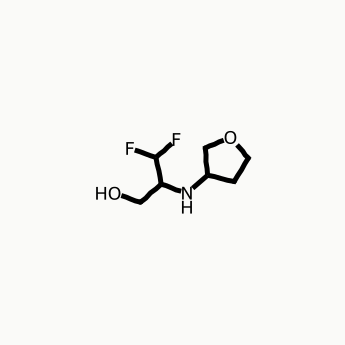 OCC(NC1CCOC1)C(F)F